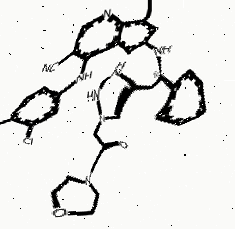 N#Cc1cnc2c(Cl)cc(N[C@H](C3=CN(CC(=O)N4CCOCC4)NN3)c3ccccc3)cc2c1Nc1ccc(F)c(Cl)c1